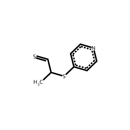 CC(C=S)Sc1ccncc1